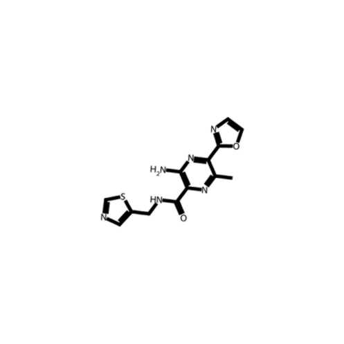 Cc1nc(C(=O)NCc2cncs2)c(N)nc1-c1ncco1